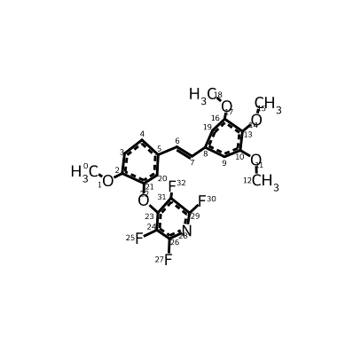 COc1ccc(C=Cc2cc(OC)c(OC)c(OC)c2)cc1Oc1c(F)c(F)nc(F)c1F